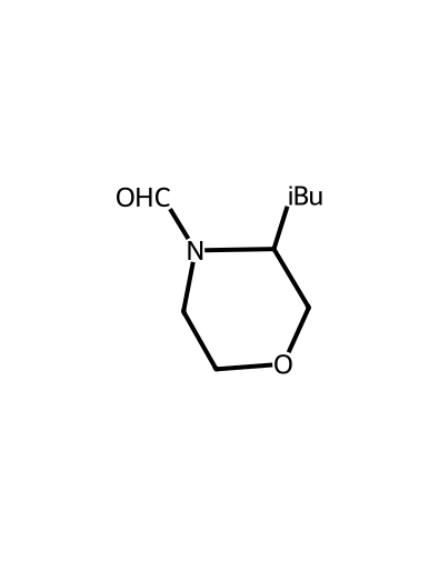 [CH2]CC(C)C1COCCN1C=O